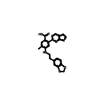 Cc1cc(C(=O)O)c(-c2ncc3ccsc3n2)cc1NCCc1ccc2c(c1)OCO2